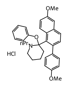 CCCN1CCCCC1(Oc1ccccc1)c1c(-c2ccc(OC)cc2)ccc2cc(OC)ccc12.Cl